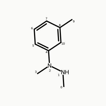 CNN(C)c1cccc(C)c1